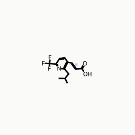 CC(C)Cc1nc(C(F)(F)F)ccc1/C=C/C(=O)O